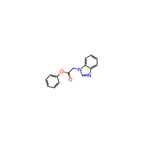 O=C(Cn1cnc2ccccc21)Oc1ccccc1